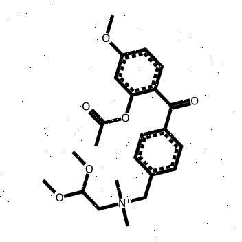 COc1ccc(C(=O)c2ccc(C[N+](C)(C)CC(OC)OC)cc2)c(OC(C)=O)c1